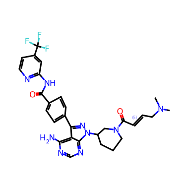 CN(C)C/C=C/C(=O)N1CCCC(n2nc(-c3ccc(C(=O)Nc4cc(C(F)(F)F)ccn4)cc3)c3c(N)ncnc32)C1